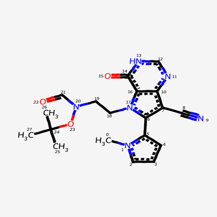 Cn1cccc1-c1c(C#N)c2nc[nH]c(=O)c2n1CCN(C=O)OC(C)(C)C